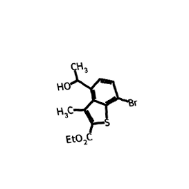 CCOC(=O)c1sc2c(Br)ccc(C(C)O)c2c1C